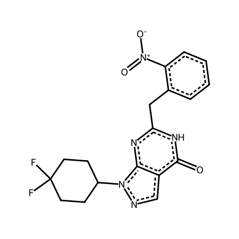 O=c1[nH]c(Cc2ccccc2[N+](=O)[O-])nc2c1cnn2C1CCC(F)(F)CC1